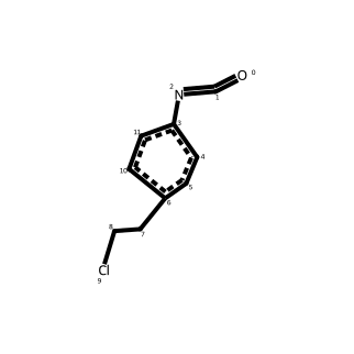 O=C=Nc1ccc(CCCl)cc1